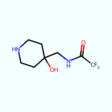 O=C(NCC1(O)CCNCC1)C(F)(F)F